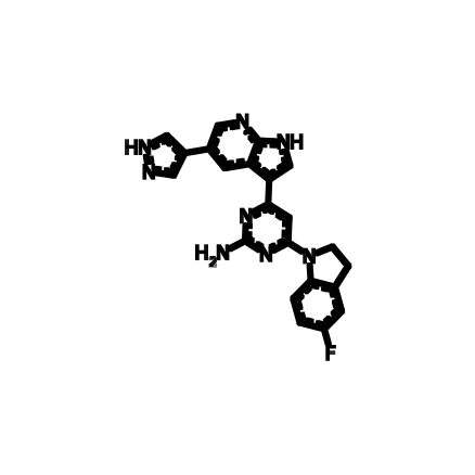 Nc1nc(-c2c[nH]c3ncc(-c4cn[nH]c4)cc23)cc(N2CCc3cc(F)ccc32)n1